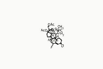 CC(=O)OCC(=O)[C@@]1(OC(C)=O)CC[C@H]2[C@@H]3CC(F)C4=CC(=O)CC[C@]4(C)[C@H]3C(O[Si](C)(C)C)C[C@@]21C